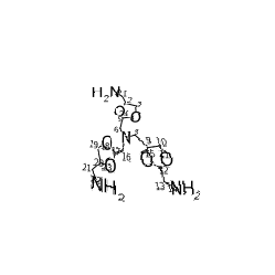 NCC1COC(CN(CC2COC(CN)O2)CC2OCC(CN)O2)O1